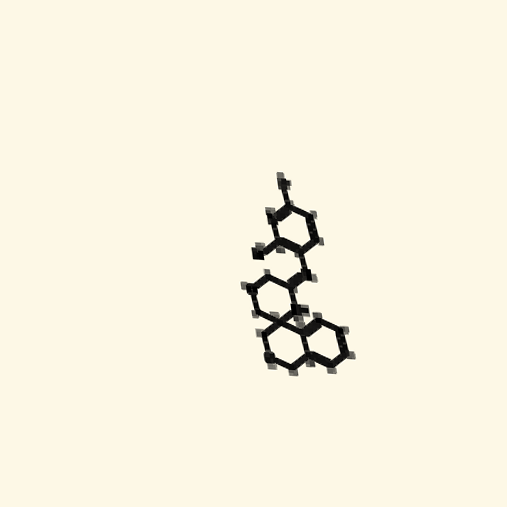 Brc1ccc(/N=C2\COCC3(COCc4ccccc43)N2)c(Br)n1